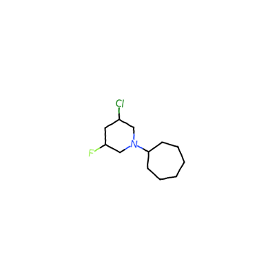 FC1CC(Cl)CN(C2CCCCCC2)C1